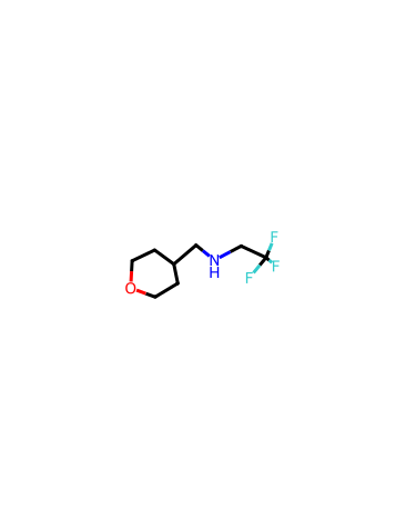 FC(F)(F)CNCC1CCOCC1